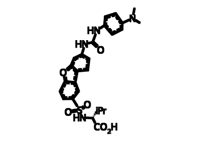 CC(C)[C@@H](NS(=O)(=O)c1ccc2oc3cc(NC(=O)Nc4ccc(N(C)C)cc4)ccc3c2c1)C(=O)O